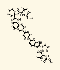 COC(=O)N[C@H](C(=O)NC1(c2nc3ccc4cc(-c5ccc(-c6ccc7nc([C@@H]8CCCN8C(=O)[C@@H](NC(=O)OC)C(C)C)[nH]c7c6)cc5)ccc4c3[nH]2)CCCCC1)C(C)C